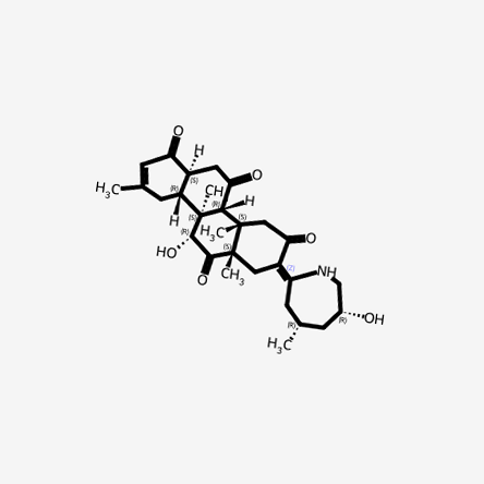 CC1=CC(=O)[C@H]2CC(=O)[C@H]3[C@](C)([C@@H]2C1)[C@@H](O)C(=O)[C@@]1(C)C/C(=C2\C[C@@H](C)C[C@@H](O)CN2)C(=O)C[C@@]31C